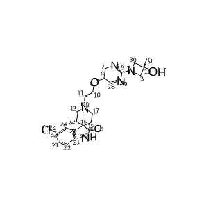 CC1(O)CN(C2=NCC(OCCN3CCC4(CC3)C(=O)Nc3ccc(Cl)cc34)C=N2)C1